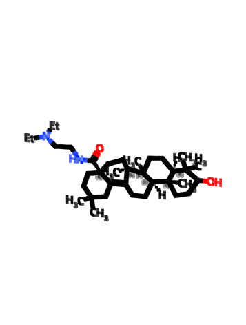 CCN(CC)CCNC(=O)[C@]12CCC(C)(C)CC1=C1CC[C@@H]3[C@@]4(C)CCC(O)C(C)(C)[C@@H]4CC[C@@]3(C)[C@]1(C)CC2